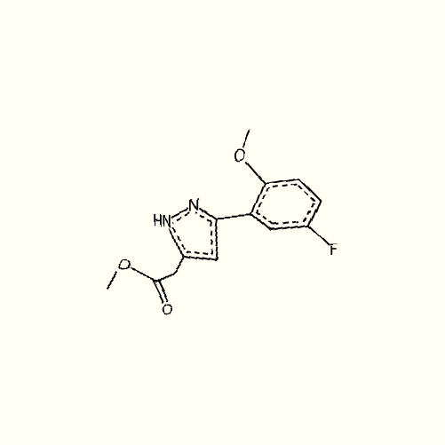 COC(=O)c1cc(-c2cc(F)ccc2OC)n[nH]1